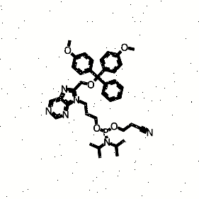 COc1ccc(C(OCc2nc3cncnc3n2CCCOP(OCCC#N)N(C(C)C)C(C)C)(c2ccccc2)c2ccc(OC)cc2)cc1